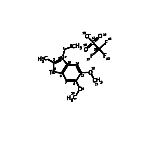 CC[n+]1c(C)[te]c2cc(OC)c(OC)cc21.O=S(=O)([O-])C(F)(F)F